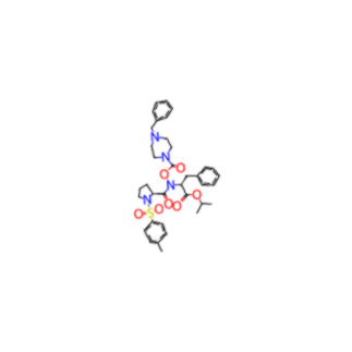 Cc1ccc(S(=O)(=O)N2CCC[C@H]2C(=O)N(OC(=O)N2CCN(Cc3ccccc3)CC2)[C@@H](Cc2ccccc2)C(=O)OC(C)C)cc1